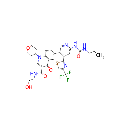 CCCNC(=O)Nc1cc(-c2nc(C(F)(F)F)cs2)c(-c2ccc3c(c2)c(=O)c(C(=O)NCCO)cn3C2CCOCC2)cn1